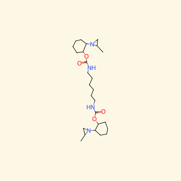 CC1CN1C1CCCCC1OC(=O)NCCCCCCNC(=O)OC1CCCCC1N1CC1C